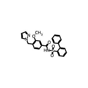 COc1cc(C(=O)NS(=O)(=O)c2ccccc2-c2ccccc2)ccc1Cn1cccn1